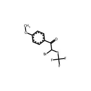 COc1ccc(C(=O)C(Br)SC(F)(F)F)cc1